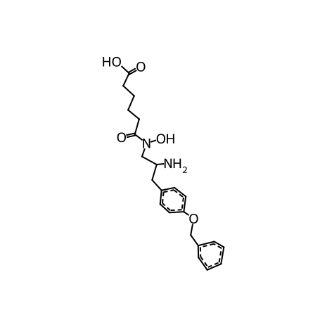 NC(Cc1ccc(OCc2ccccc2)cc1)CN(O)C(=O)CCCCC(=O)O